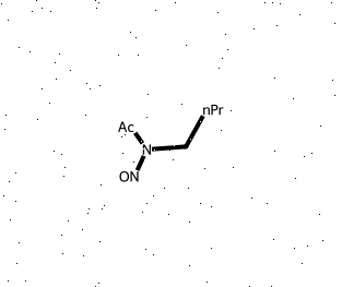 CCCCN(N=O)C(C)=O